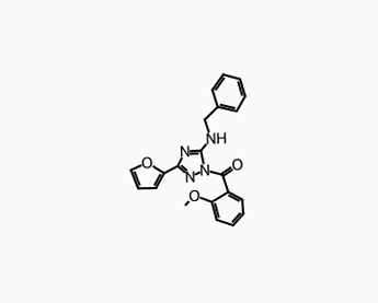 COc1ccccc1C(=O)n1nc(-c2ccco2)nc1NCc1ccccc1